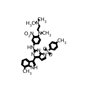 Cc1ccc(S(=O)(=O)n2ccc3c(-c4c[nH]c5c(C)cccc45)nc(Nc4ccc(N(C)CCN(C)C)c([N+](=O)[O-])c4)nc32)cc1